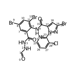 O=CNNC(=O)c1cc(Br)cc(Br)c1NC(=O)c1cc(Br)nn1-c1ncccc1Cl